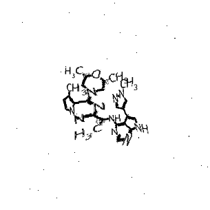 Cc1ccn2nc([C@H](C)Nc3ncnc4[nH]cc(-c5cnn(C)c5)c34)nc(N3C[C@@H](C)O[C@@H](C)C3)c12